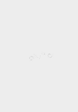 Cc1cc(C)cc(CC(=O)N2CCC2(C)C(=O)N(CN)Cc2ccc(Cl)cc2)c1